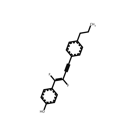 CCCc1ccc(C#CC(F)=C(F)c2ccc(O)cc2)cc1